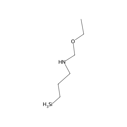 CCOCNCCC[SiH3]